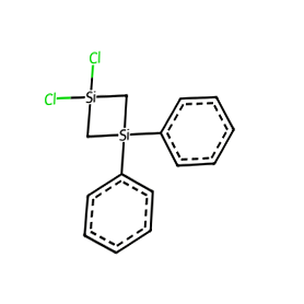 Cl[Si]1(Cl)C[Si](c2ccccc2)(c2ccccc2)C1